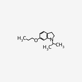 CCCOc1ccc2c(c1)N(C(C)C)CC2